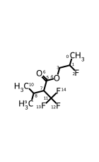 CC(F)COC(=O)C(C(C)C)C(F)(F)F